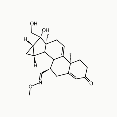 CO/N=C/[C@@H]1CC2=CC(=O)CC[C@]2(C)C2=CC[C@@]3(C)C(C21)[C@@H]1C[C@@H]1[C@@]3(O)CO